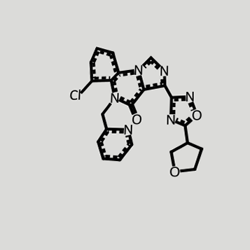 O=c1c2c(-c3noc(C4CCOC4)n3)ncn2c2cccc(Cl)c2n1Cc1ccccn1